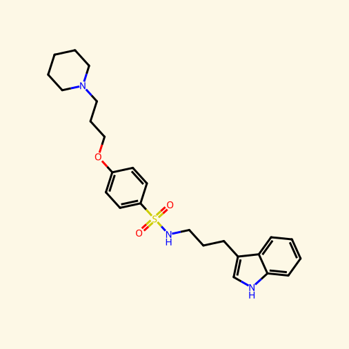 O=S(=O)(NCCCc1c[nH]c2ccccc12)c1ccc(OCCCN2CCCCC2)cc1